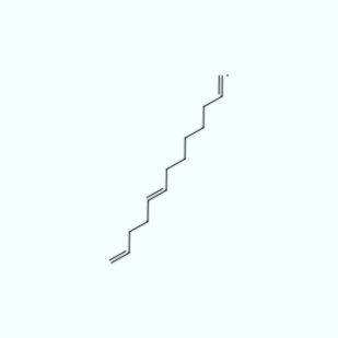 [CH]=CCCCCCC=CCCC=C